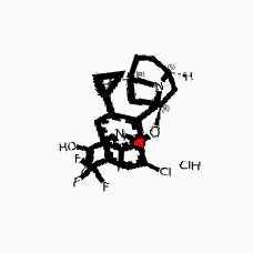 Cl.O=C(O)c1cc(C2CC2)c(CN2[C@@H]3CC[C@H]2C[C@@H](Oc2ncc(C(F)(F)F)cc2Cl)C3)cc1F